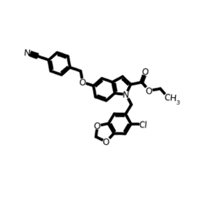 CCOC(=O)c1cc2cc(OCc3ccc(C#N)cc3)ccc2n1Cc1cc2c(cc1Cl)OCO2